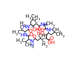 CC(C)CC(=O)NC(C(=O)NC(C(=O)NC(CC(C)C)[C@@H](O)CC(=O)N[C@@H](C)C(=O)NC(CC(C)C)[C@@H](O)CC(=O)O)C(C)C)C(C)C